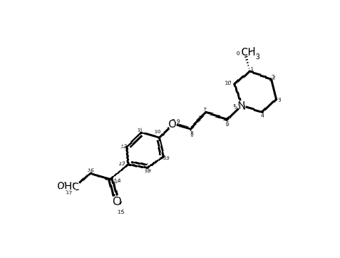 C[C@@H]1CCCN(CCCOc2ccc(C(=O)CC=O)cc2)C1